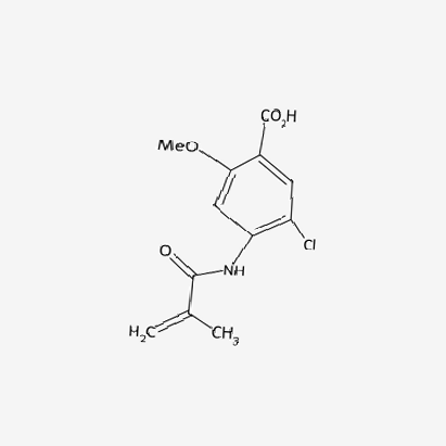 C=C(C)C(=O)Nc1cc(OC)c(C(=O)O)cc1Cl